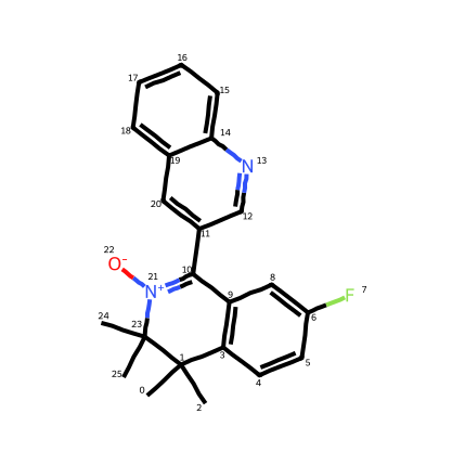 CC1(C)c2ccc(F)cc2C(c2cnc3ccccc3c2)=[N+]([O-])C1(C)C